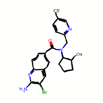 N#Cc1ccc(CN(C(=O)c2ccc3nc(N)c(Br)cc3c2)C2CCCC2C#N)nc1